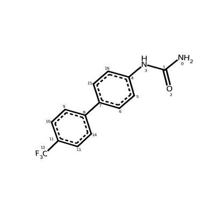 NC(=O)Nc1ccc(-c2ccc(C(F)(F)F)cc2)cc1